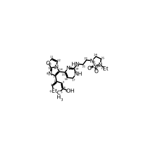 CC/C=C(\C=C(/C)O)c1nc2occn2c1C1=CCNC(NCCN2CCN(CC)S2(=O)=O)=N1